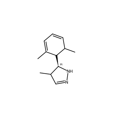 CC1=CC=CC(C)C1[C@H]1NN=CC1C